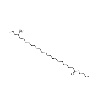 CCCCCC(=O)CCCCCCCCCCCCCCCCCCCCC(O)CCC